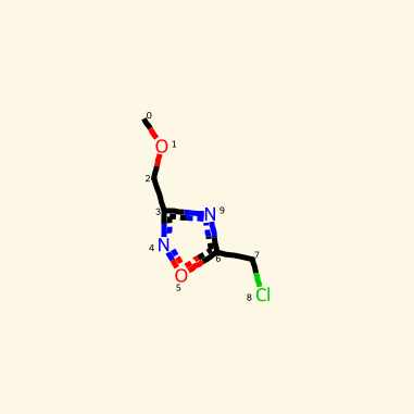 COCc1noc(CCl)n1